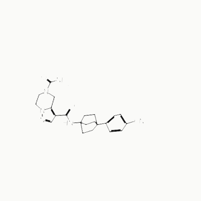 N#Cc1ccc(C23CCC(NC(=O)c4cnn5c4CN(C(N)=O)CC5)(CC2)CC3)cc1